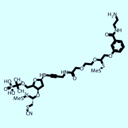 CSSC(COc1cccc(C(=O)NCCN)c1)OCCOCC(=O)NCC#CB[C@H]1C[C@@H](O[C@H](CSC#N)SSC)C(COC(C)(C)P(=O)(O)O)O1